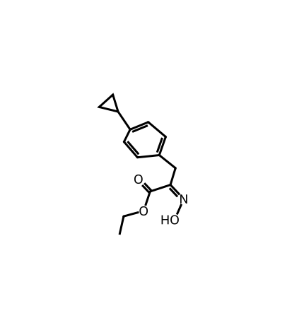 CCOC(=O)/C(Cc1ccc(C2CC2)cc1)=N\O